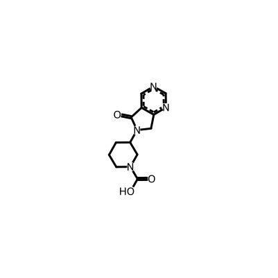 O=C(O)N1CCCC(N2Cc3ncncc3C2=O)C1